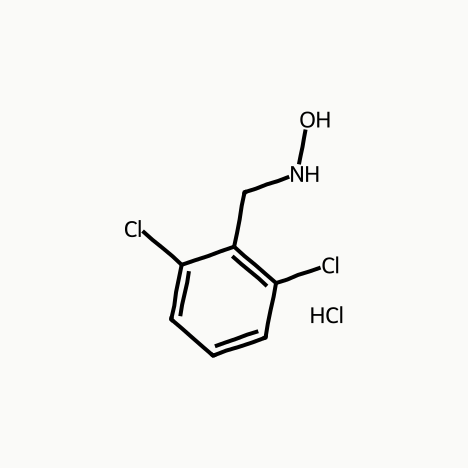 Cl.ONCc1c(Cl)cccc1Cl